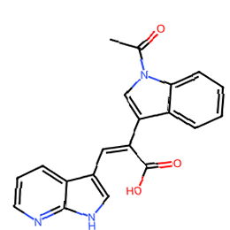 CC(=O)n1cc(/C(=C/c2c[nH]c3ncccc23)C(=O)O)c2ccccc21